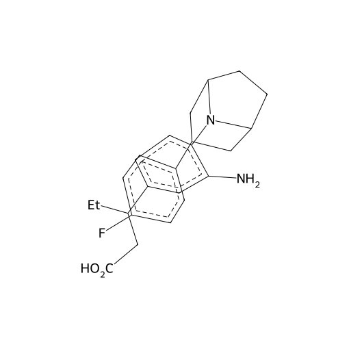 CCC(CC(=O)O)c1ccc(N2C3CCC2CC(c2ccc(F)cc2)C3)c(N)c1